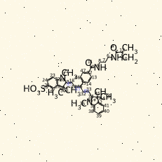 C=C(C)C(=O)NCCCNC(=O)c1ccc(C(=C\C=C2\N(C)c3ccc(S(=O)(=O)O)cc3C2(C)C)/C=C/C2=[N+](C)c3ccccc3C2(C)C)cc1